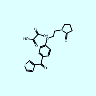 O=C(O)C(=O)O.O=C(c1ccc(OCCN2CCCC2=O)cc1)c1ccsc1